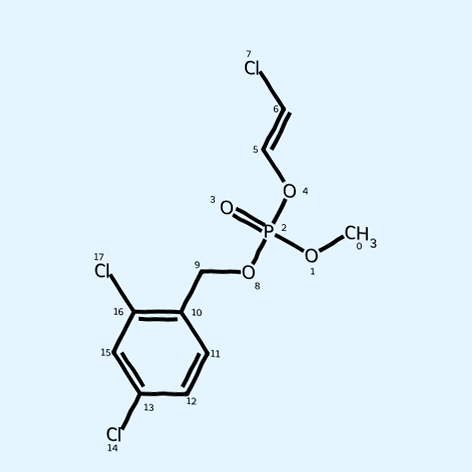 COP(=O)(OC=CCl)OCc1ccc(Cl)cc1Cl